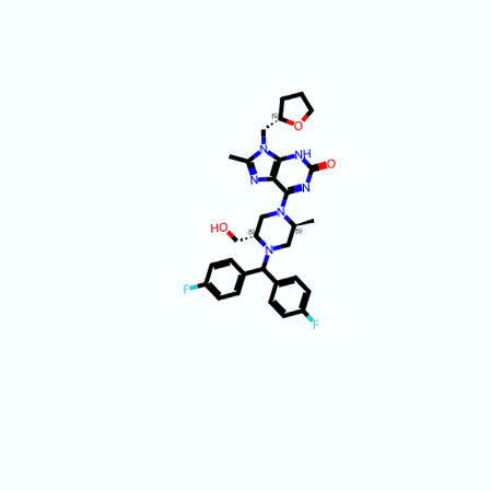 Cc1nc2c(N3C[C@@H](CO)N(C(c4ccc(F)cc4)c4ccc(F)cc4)C[C@@H]3C)nc(=O)[nH]c2n1C[C@@H]1CCCO1